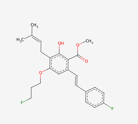 COC(=O)c1c(C=Cc2ccc(F)cc2)cc(OCCCF)c(CC=C(C)C)c1O